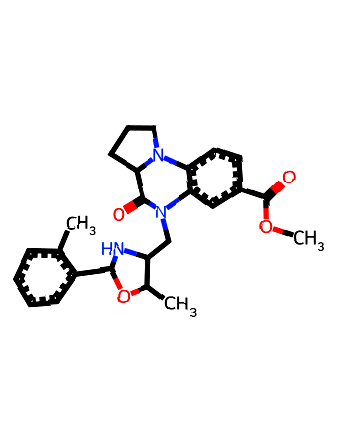 COC(=O)c1ccc2c(c1)N(CC1NC(c3ccccc3C)OC1C)C(=O)C1CCCN21